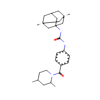 CCC1CC(C(=O)O)CCN1C(=O)c1ccc(NC(=O)NC23CC4C[C@@](C)(C2)C[C@](C)(C4)C3)cc1